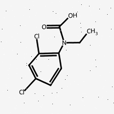 CCN(C(=O)O)c1ccc(Cl)cc1Cl